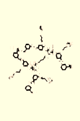 O=C(O)c1cccc(N=Nc2ccc(Nc3nc(NCCCCNc4nc(Nc5ccc(N=Nc6cccc(C(=O)O)c6)cc5OCCCSOOO)nc(Nc5ccc(N=Nc6cccc(C(=O)O)c6)cc5OCCCS(=O)(=O)O)n4)nc(Nc4ccc(N=Nc5cccc(C(=O)O)c5)cc4OCCCS(=O)(=O)O)n3)c(OCCCSOOO)c2)c1